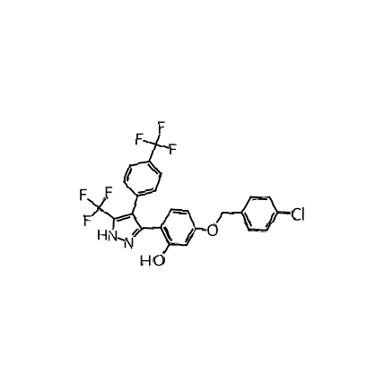 Oc1cc(OCc2ccc(Cl)cc2)ccc1-c1n[nH]c(C(F)(F)F)c1-c1ccc(C(F)(F)F)cc1